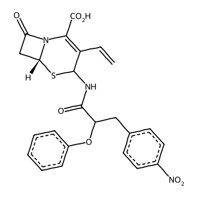 C=CC1=C(C(=O)O)N2C(=O)C[C@H]2SC1NC(=O)C(Cc1ccc([N+](=O)[O-])cc1)Oc1ccccc1